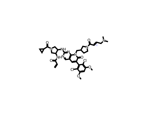 C=CC(=O)NC1CN(C(=O)C2CC2)CC1Nc1ncc2cc(-c3c(Cl)c(OC)cc(OC)c3Cl)c(=O)n(CC3CCN(C(=O)/C=C/CN(C)C)C3)c2n1